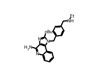 CCCCc1nc2c(N)nc3ccccc3c2n1Cc1ccc(CNCC)cc1